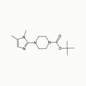 Cc1cnc(N2CCN(C(=O)OC(C)(C)C)CC2)n1C